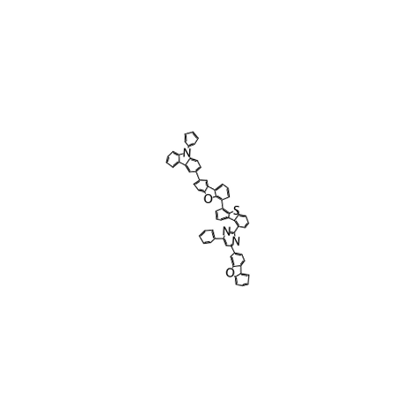 c1ccc(-c2cc(-c3ccc4c(c3)oc3ccccc34)nc(-c3cccc4sc5c(-c6cccc7c6oc6ccc(-c8ccc9c(c8)c8ccccc8n9-c8ccccc8)cc67)cccc5c34)n2)cc1